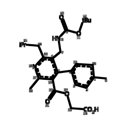 Cc1ccc(-c2c(CNC(=O)OC(C)(C)C)c(CC(C)C)nc(C)c2C(=O)OCC(=O)O)cc1